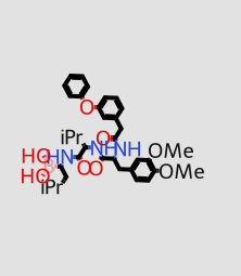 COc1ccc(CC(NC(=O)Cc2cccc(Oc3ccccc3)c2)C(=O)NC(C(=O)NC(CC(C)C)B(O)O)C(C)C)cc1OC